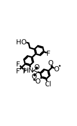 COC(=O)c1cc(Cl)c(OC)c(S(=O)(=O)Nc2cc(-c3cc(F)ccc3CCO)ccc2C(F)(F)F)c1